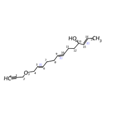 C#CCOC/C=C/CC/C=C/CCC(O)/C=C/C